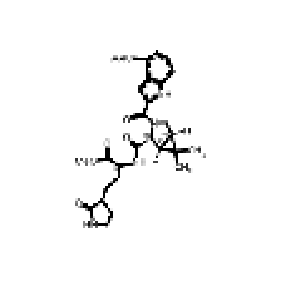 COC(=O)[C@H](CCC1CCNC1=O)NC(=O)[C@@H]1[C@@H]2[C@H](CN1C(=O)c1cc3c(OC)cccc3[nH]1)C2(C)C